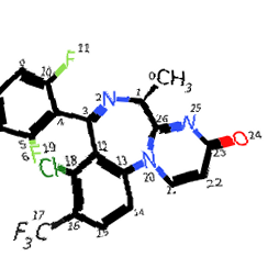 C[C@@H]1N=C(c2c(F)cccc2F)c2c(ccc(C(F)(F)F)c2Cl)-n2ccc(=O)nc21